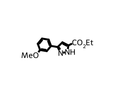 CCOC(=O)c1cc(-c2cccc(OC)c2)n[nH]1